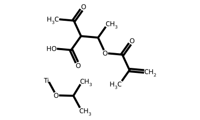 C=C(C)C(=O)OC(C)C(C(C)=O)C(=O)O.CC(C)[O][Ti]